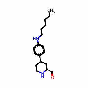 CCCCCCNc1ccc([C@@H]2CCN[C@H](C=O)C2)cc1